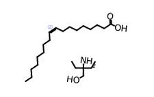 CCC(N)(CC)CO.CCCCCCCC/C=C\CCCCCCCC(=O)O